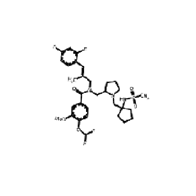 COc1cc(C(=O)N(C/C(C)=C/c2ccc(F)cc2F)CC2CCCN2CC2(NS(C)(=O)=O)CCCC2)ccc1OC(F)F